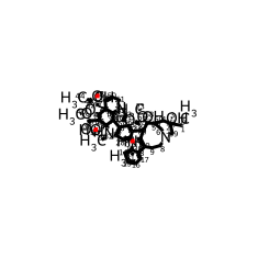 CC[C@]1(O)C[C@@H]2CN(CCc3c([nH]c4ccccc34)[C@@](C(=O)OC)(c3cc4c(cc3OC)N(C)[C@H]3[C@@](O)(C(=O)OC)[C@H](OC(C)=O)[C@]5(CC)C=CCN6CC[C@]43[C@@H]65)C2=O)C1